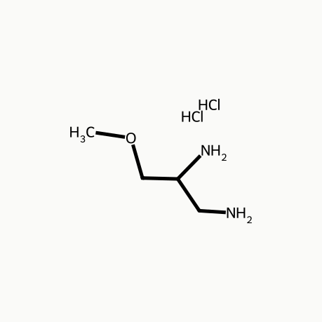 COCC(N)CN.Cl.Cl